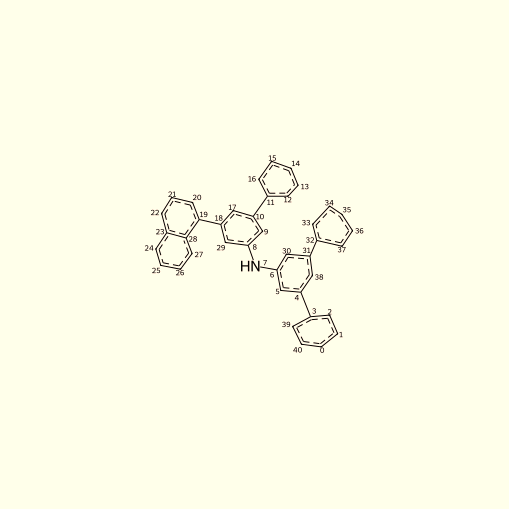 c1ccc(-c2cc(Nc3cc(-c4ccccc4)cc(-c4cccc5ccccc45)c3)cc(-c3ccccc3)c2)cc1